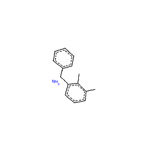 Cc1cccc(Cc2ccccc2)c1C.N